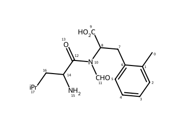 Cc1ccccc1CC(C(=O)O)N(C=O)C(=O)C(N)CC(C)C